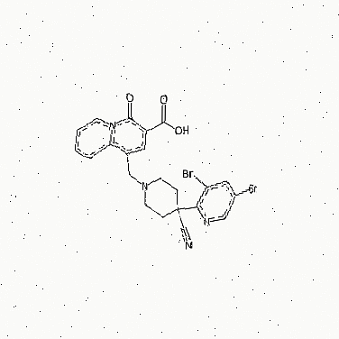 N#CC1(c2ncc(Br)cc2Br)CCN(Cc2cc(C(=O)O)c(=O)n3ccccc23)CC1